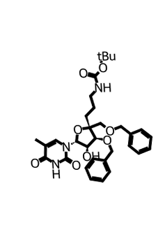 Cc1cn([C@@H]2O[C@](CCCNC(=O)OC(C)(C)C)(COCc3ccccc3)[C@@H](OCc3ccccc3)[C@H]2O)c(=O)[nH]c1=O